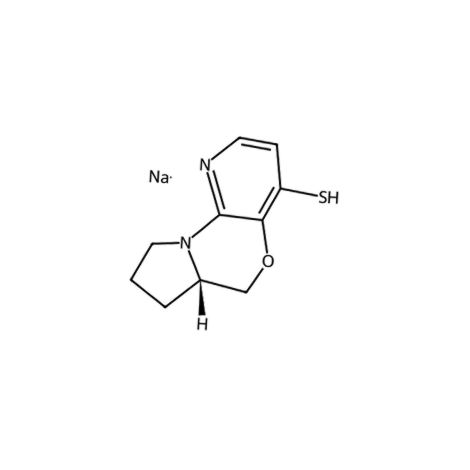 Sc1ccnc2c1OC[C@@H]1CCCN21.[Na]